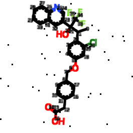 CC(c1ccc(OCc2ccc(CC(=O)O)cc2)cc1Cl)C(O)(c1cnc2ccccc2c1)C(F)(F)F